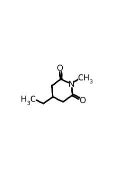 CCC1CC(=O)N(C)C(=O)C1